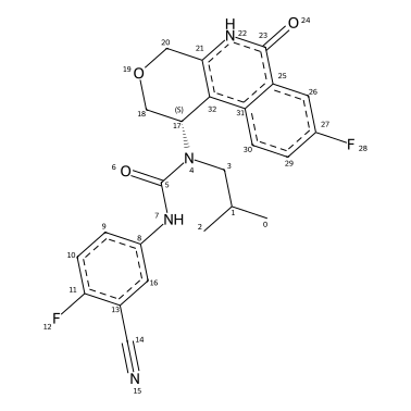 CC(C)CN(C(=O)Nc1ccc(F)c(C#N)c1)[C@@H]1COCc2[nH]c(=O)c3cc(F)ccc3c21